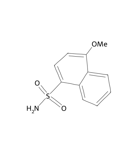 COc1ccc(S(N)(=O)=O)c2ccccc12